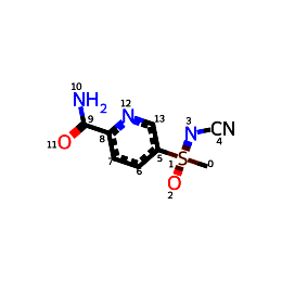 CS(=O)(=NC#N)c1ccc(C(N)=O)nc1